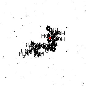 N=C(N)NCCC[C@H](NC(=O)[C@H](Cc1c[nH]cn1)NC(=O)CNC(=O)CNC(=O)[C@H](Cc1ccccc1)NC(=O)[C@H](Cc1ccccc1)NC(=O)[C@@H]1CCCN1C(=O)[C@H](CC(=O)O)NC(=O)[C@H](CC(=O)O)NC(=O)[C@H](CC(=O)O)NC(=O)[C@@H](N)Cc1ccccc1)C(=O)N[C@@H](CO)C(=O)O